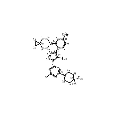 Cc1cc(-c2nnn(-c3ccc(Br)cc3N3CCC4(CC3)CC4)c2I)nc(N2CCC(F)(F)CC2)n1